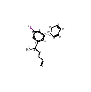 C=CCCC(CC)c1cc(I)cc([C@H]2C=CC=CC2)c1